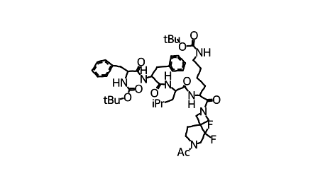 CC(=O)N1CCC2(CN(C(=O)C(CCCCNC(=O)OC(C)(C)C)NC(=O)C(CC(C)C)NC(=O)C(Cc3ccccc3)NC(=O)C(Cc3ccccc3)NC(=O)OC(C)(C)C)C2)C(F)(F)C1